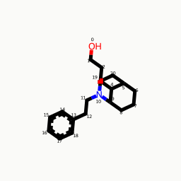 OCCCC1C2CCCC1N(CCc1ccccc1)CC2